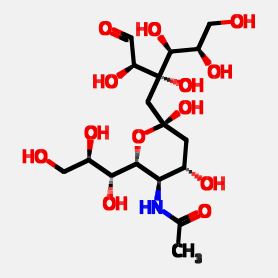 CC(=O)N[C@H]1[C@H]([C@H](O)[C@H](O)CO)O[C@](O)(C[C@@](O)([C@@H](O)C=O)[C@@H](O)[C@H](O)CO)C[C@@H]1O